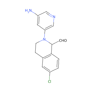 Nc1cncc(N2CCc3cc(Cl)ccc3C2C=O)c1